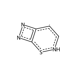 [c]1c[nH]sc2nnc1=2